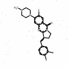 CN1CCN(c2cc3nc4n(c(=O)c3cc2F)CC/C4=C\c2ccc(F)c(F)c2)CC1